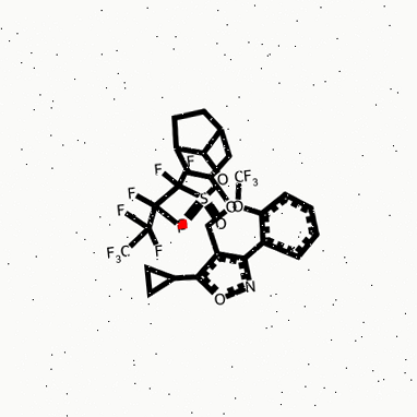 O=S(=O)(OC1C2CCC1CC(OCc1c(-c3ccccc3OC(F)(F)F)noc1C1CC1)C2)C(F)(F)C(F)(F)C(F)(F)C(F)(F)F